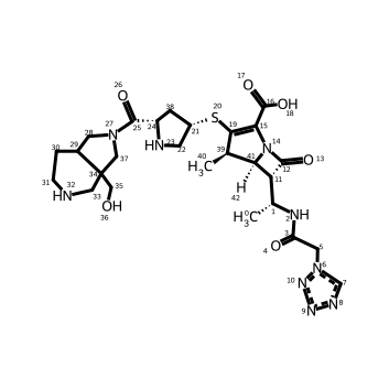 C[C@@H](NC(=O)Cn1cnnn1)[C@H]1C(=O)N2C(C(=O)O)=C(S[C@@H]3CN[C@H](C(=O)N4CC5CCNCC5(CO)C4)C3)[C@H](C)[C@H]12